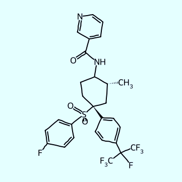 C[C@@H]1C[C@](c2ccc(C(F)(C(F)(F)F)C(F)(F)F)cc2)(S(=O)(=O)c2ccc(F)cc2)CCC1NC(=O)c1cccnc1